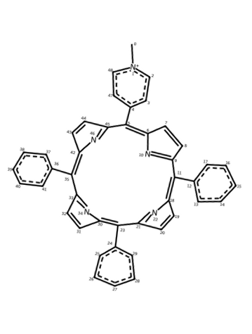 C[n+]1ccc(C2=C3C=CC(=N3)C(c3ccccc3)=C3C=CC(=N3)C(c3ccccc3)=C3C=CC(=N3)C(c3ccccc3)=C3C=CC2=N3)cc1